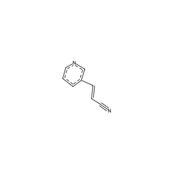 N#CC=Cc1cccnc1